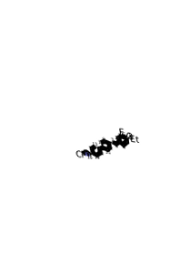 CCOc1ccc(CC[C@H]2CC[C@H]([C@H]3CC[C@H](/C=C/Cl)CC3)CC2)cc1F